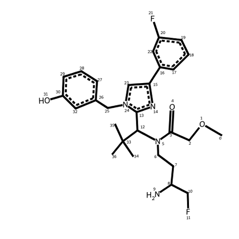 COCC(=O)N(CCC(N)CF)C(c1nc(-c2cccc(F)c2)cn1Cc1cccc(O)c1)C(C)(C)C